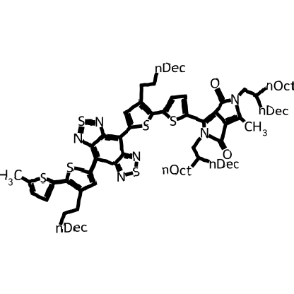 CCCCCCCCCCCCc1cc(-c2c3c(c(-c4cc(CCCCCCCCCCCC)c(-c5ccc(C6=C7C(=O)N(CC(CCCCCCCC)CCCCCCCCCC)C(C)=C7C(=O)N6CC(CCCCCCCC)CCCCCCCCCC)s5)s4)c4nsnc24)N=S=N3)sc1-c1ccc(C)s1